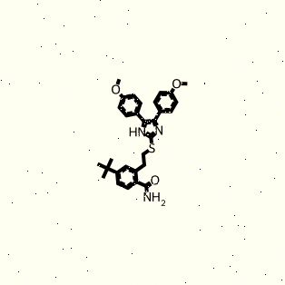 COc1ccc(-c2nc(SCCc3cc(C(C)(C)C)ccc3C(N)=O)[nH]c2-c2ccc(OC)cc2)cc1